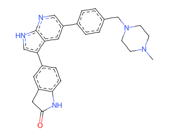 CN1CCN(Cc2ccc(-c3cnc4[nH]cc(-c5ccc6c(c5)CC(=O)N6)c4c3)cc2)CC1